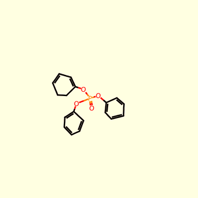 O=P(OC1=CC=CCC1)(Oc1ccccc1)Oc1ccccc1